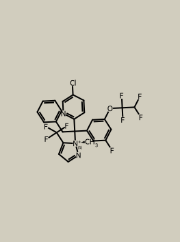 C[N@@+]1(C(Cc2ccccc2)(c2cc(F)cc(OC(F)(F)C(F)F)c2)c2ccc(Cl)cn2)N=CC=C1C(F)(F)F